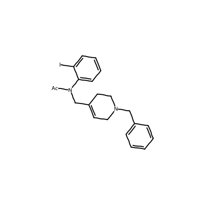 CC(=O)N(CC1=CCN(Cc2ccccc2)CC1)c1ccccc1I